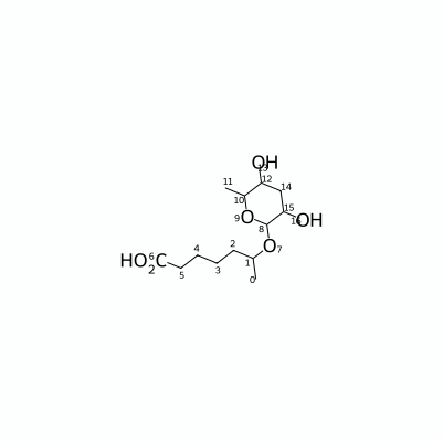 CC(CCCCC(=O)O)OC1OC(C)C(O)CC1O